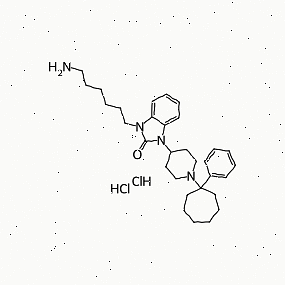 Cl.Cl.NCCCCCCn1c(=O)n(C2CCN(C3(c4ccccc4)CCCCCC3)CC2)c2ccccc21